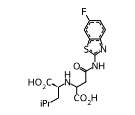 CC(C)C[C@H](NC(CC(=O)Nc1nc2ccc(F)cc2s1)C(=O)O)C(=O)O